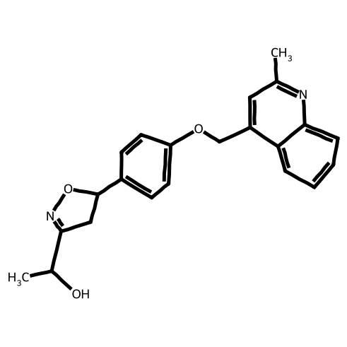 Cc1cc(COc2ccc(C3CC(C(C)O)=NO3)cc2)c2ccccc2n1